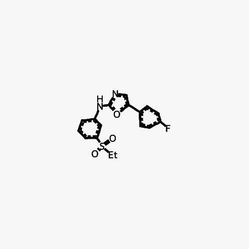 CCS(=O)(=O)c1cccc(Nc2ncc(-c3ccc(F)cc3)o2)c1